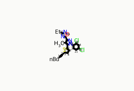 CCCCC#Cc1ccc(-c2c(C)c(-c3nc(CC)no3)nn2-c2ccc(Cl)cc2Cl)s1